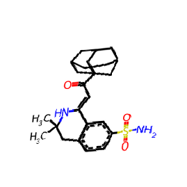 CC1(C)Cc2ccc(S(N)(=O)=O)cc2C(=CC(=O)C23CC4CC(CC(C4)C2)C3)N1